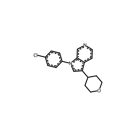 Clc1ccc(-n2cc(C3CCOCC3)c3ccncc32)cc1